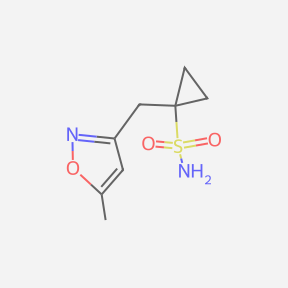 Cc1cc(CC2(S(N)(=O)=O)CC2)no1